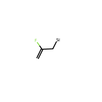 C=C(F)C[Si]